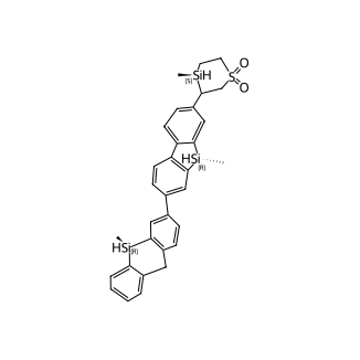 C[Si@@H]1c2ccccc2Cc2ccc(-c3ccc4c(c3)[Si@@H](C)c3cc(C5CS(=O)(=O)CC[Si@@H]5C)ccc3-4)cc21